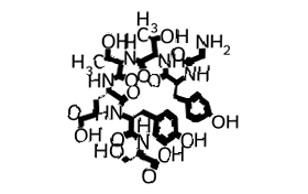 C[C@@H](O)[C@H](NC(=O)[C@H](Cc1ccc(O)cc1)NC(=O)CN)C(=O)N[C@H](C(=O)N[C@@H](CCC(=O)O)C(=O)N[C@@H](Cc1ccc(O)cc1)C(=O)N[C@@H](CO)C(=O)O)[C@@H](C)O